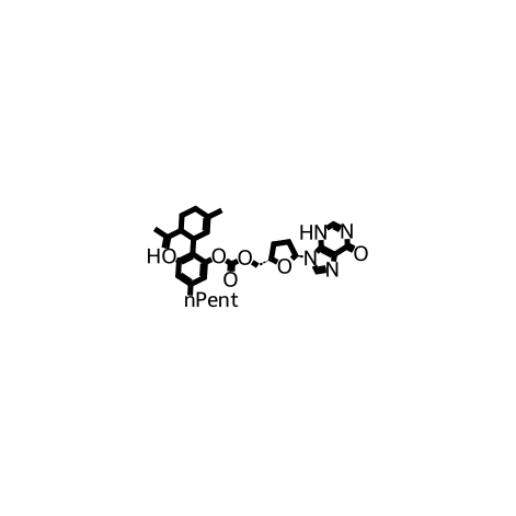 C=C(C)C1CCC(C)=CC1c1c(O)cc(CCCCC)cc1OC(=O)OC[C@@H]1CC[C@H](n2cnc3c(=O)nc[nH]c32)O1